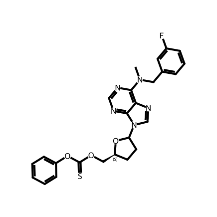 CN(Cc1cccc(F)c1)c1ncnc2c1ncn2C1CC[C@@H](COC(=S)Oc2ccccc2)O1